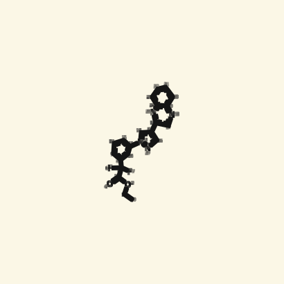 CCOC(=O)C(F)(F)c1cccc(-n2cc(-c3cnc4ccccc4n3)cn2)c1